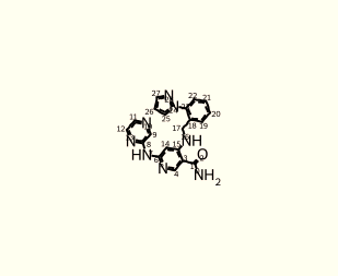 NC(=O)c1cnc(Nc2cnccn2)cc1NCc1ccccc1-n1cccn1